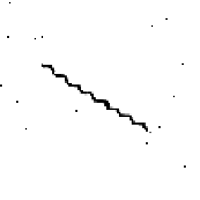 [CH2]CCCCC/C=C/CCC/C=C/CCCC